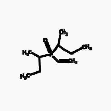 C=CP(=O)(C(C)CC)C(C)CC